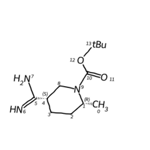 C[C@@H]1CC[C@H](C(=N)N)CN1C(=O)OC(C)(C)C